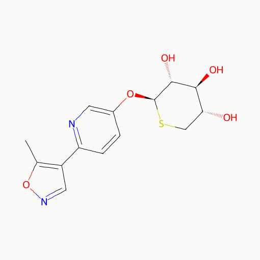 Cc1oncc1-c1ccc(O[C@@H]2SC[C@@H](O)[C@H](O)[C@H]2O)cn1